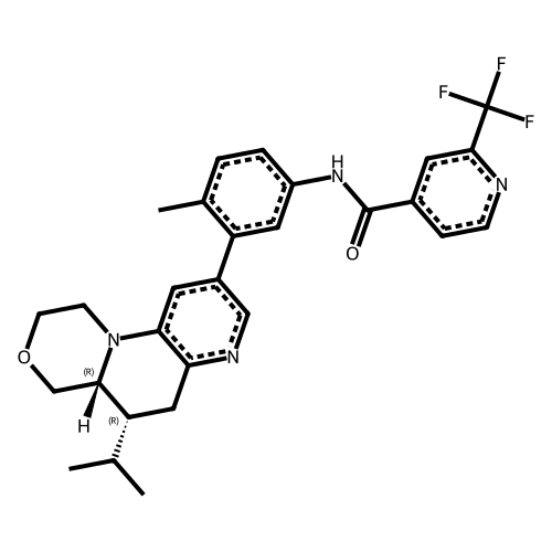 Cc1ccc(NC(=O)c2ccnc(C(F)(F)F)c2)cc1-c1cnc2c(c1)N1CCOC[C@H]1[C@@H](C(C)C)C2